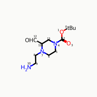 CC(C)(C)OC(=O)N1CCN(CCN)C(C=O)C1